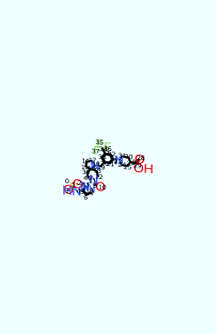 CS(=O)(=O)Nc1ccn(C(=O)N2CCC3(CCCN3Cc3cc(N4CCC(C(=O)O)CC4)cc(C(F)(F)F)c3)CC2)n1